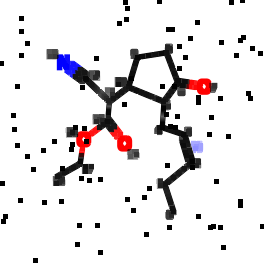 CC/C=C\CC1C(=O)CCC1C(C#N)C(=O)OCC